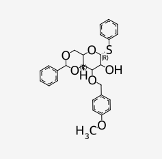 COc1ccc(COC2C(O)[C@@H](Sc3ccccc3)OC3COC(c4ccccc4)O[C@H]32)cc1